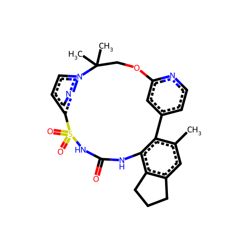 Cc1cc2c(c3c1-c1ccnc(c1)OCC(C)(C)n1ccc(n1)S(=O)(=O)NC(=O)N3)CCC2